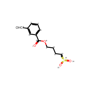 O=Cc1cccc(C(=O)OCCCC=S(=O)=O)c1